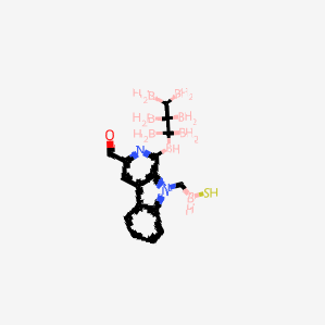 BC(B)C(B)(B)C(B)(B)Bc1nc(C=O)cc2c3ccccc3n(CBS)c12